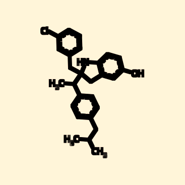 CC(C)Cc1ccc(C(C)C2(Cc3cccc(Cl)c3)Cc3cc(O)ccc3N2)cc1